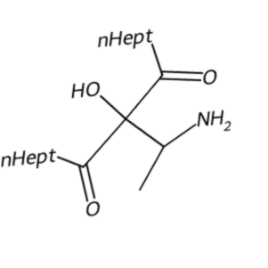 CCCCCCCC(=O)C(O)(C(=O)CCCCCCC)C(C)N